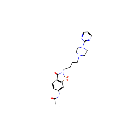 CC(=O)Nc1ccc2c(c1)S(=O)(=O)N(CCCCN1CCN(c3ncccn3)CC1)C2=O